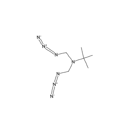 CC(C)(C)N(CN=[N+]=[N-])CN=[N+]=[N-]